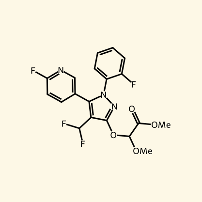 COC(=O)C(OC)Oc1nn(-c2ccccc2F)c(-c2ccc(F)nc2)c1C(F)F